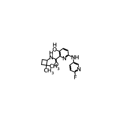 CC1(C)CCC1NC(=O)c1nc(Nc2ccc(F)nc2)ccc1O